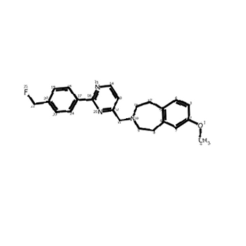 COc1ccc2c(c1)CCN(Cc1ccnc(-c3ccc(CF)cc3)n1)CC2